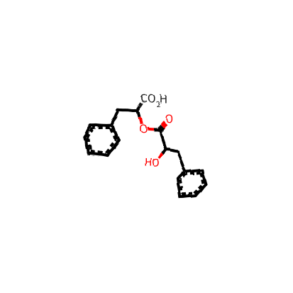 O=C(OC(Cc1ccccc1)C(=O)O)C(O)Cc1ccccc1